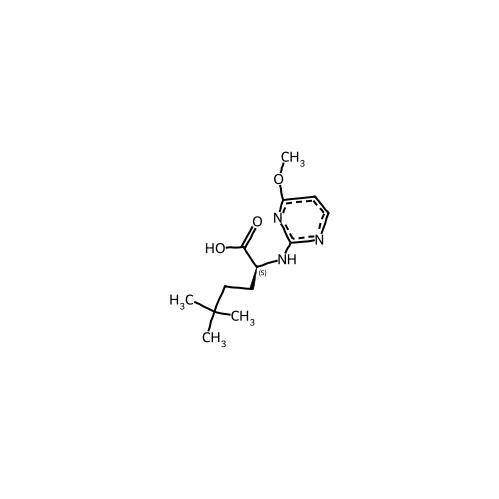 COc1ccnc(N[C@@H](CCC(C)(C)C)C(=O)O)n1